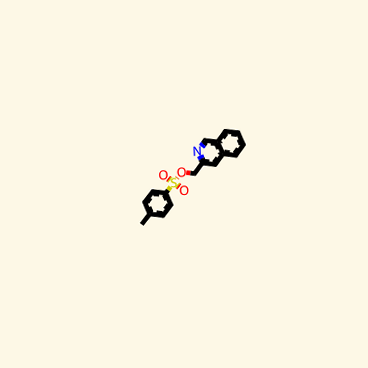 Cc1ccc(S(=O)(=O)OCc2cc3ccccc3cn2)cc1